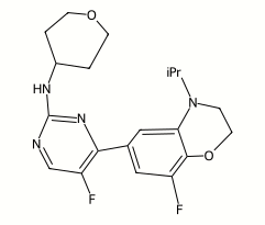 CC(C)N1CCOc2c(F)cc(-c3nc(NC4CCOCC4)ncc3F)cc21